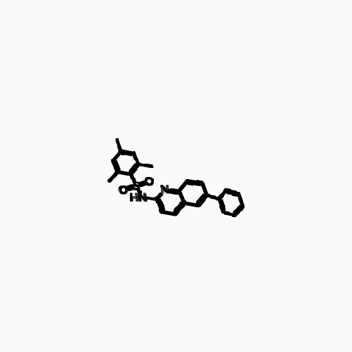 Cc1cc(C)c(S(=O)(=O)Nc2ccc3cc(-c4ccccc4)ccc3n2)c(C)c1